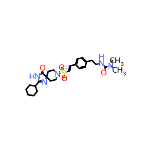 CN(C)C(=O)NCCc1ccc(/C=C/S(=O)(=O)N2CCC3(CC2)N=C(C2CCCCC2)NC3=O)cc1